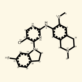 COc1cc2c(cc1Nc1ncc(Cl)c(N3CCc4ccc(F)cc43)n1)CN(C)CC2